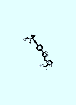 C[C@H](O)c1nccn1Cc1cc(-c2ccc(C#CC3(NC=O)CC3)cc2)on1